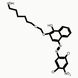 CCCCCCCCCCCCCCCCCCOc1cc(N=Nc2cc(Cl)c([N+](=O)[O-])cc2Cl)c2ccccc2c1O